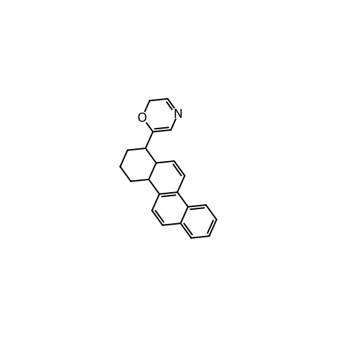 C1=CC2C(C3=CN=CCO3)CCCC2c2ccc3ccccc3c21